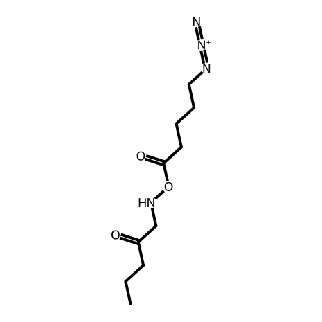 CCCC(=O)CNOC(=O)CCCCN=[N+]=[N-]